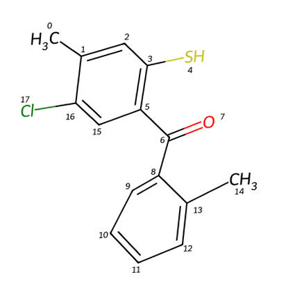 Cc1cc(S)c(C(=O)c2ccccc2C)cc1Cl